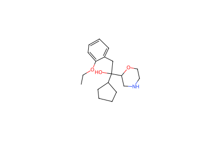 CCOc1ccccc1CC(O)(C1CCCC1)C1CNCCO1